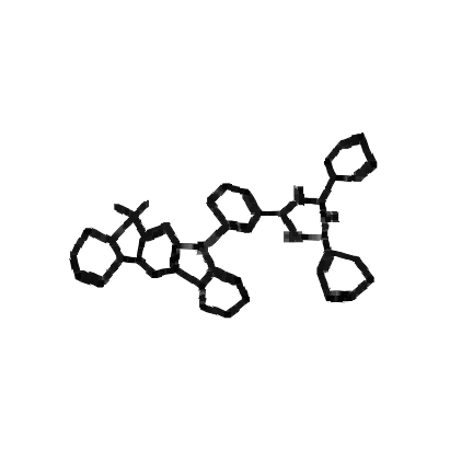 CC1(C)C2=CC3=C(CC2C2C=CCCC21)C1CCCC=C1N3C1=CC(C2NC(C3=CC=CCC3)NC(C3C=CC=CC3)N2)=CCC1